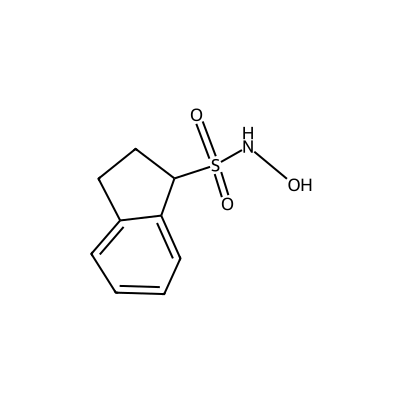 O=S(=O)(NO)C1CCc2ccccc21